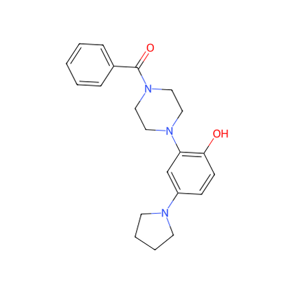 O=C(c1ccccc1)N1CCN(c2cc(N3CCCC3)ccc2O)CC1